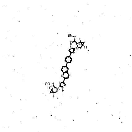 CC(C)(C)OC(=O)N1[C@@H]2C[C@@H]2C[C@H]1c1nc(-c2ccc(-c3ccc4nc(-c5c[nH]c([C@@H]6C[C@H]7C[C@H]7N6C(=O)O)n5)cnc4c3)cc2)c[nH]1